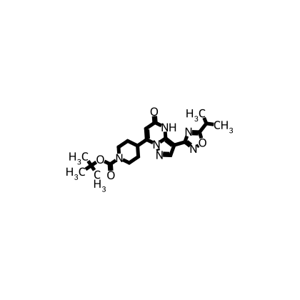 CC(C)c1nc(-c2cnn3c(C4CCN(C(=O)OC(C)(C)C)CC4)cc(=O)[nH]c23)no1